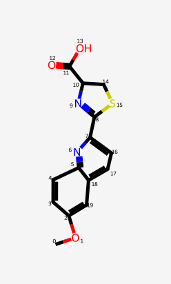 COc1ccc2nc(C3=NC(C(=O)O)CS3)ccc2c1